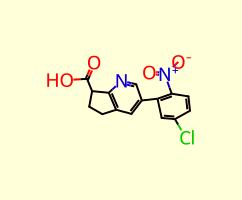 O=C(O)C1CCc2cc(-c3cc(Cl)ccc3[N+](=O)[O-])cnc21